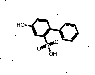 O=S(=O)(O)c1cc(O)ccc1-c1ccccc1